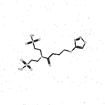 O=C(CCCOc1conn1)N(CCS(=O)(=O)O)CCS(=O)(=O)O